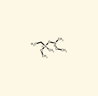 CC[Si@@](C)(OC)O[SiH](C)OC